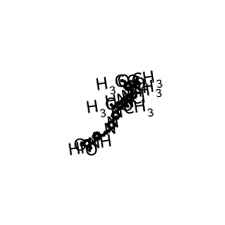 CCc1cc(Nc2ncc(Cl)c(Nc3ccc(OC)cc3N(C)S(C)(=O)=O)n2)c(OC)cc1N1CCC(N2CCN(CCCc3cccc(NC4CCC(=O)NC4=O)c3)CC2)CC1